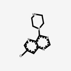 Clc1cnc2c(N3CCNCC3)ncnc2c1